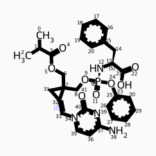 CC(C)C(=O)OCC1(CO[P@@](=O)(N[C@@H](Cc2ccccc2)C(=O)O)Oc2ccccc2)C/C1=C/n1ccc(N)nc1=O